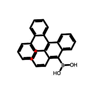 OB(O)c1c2ccccc2c(-c2ccccc2-c2ccccc2)c2ccccc12